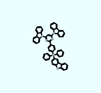 c1ccc([Si](c2ccccc2)(c2ccc(-c3nc(-n4c5ccccc5c5ccccc54)cc(-n4c5ccccc5c5ccccc54)n3)cc2)c2ccc3oc4ccccc4c3c2)cc1